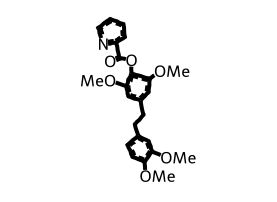 COc1ccc(CCc2cc(OC)c(OC(=O)c3ccccn3)c(OC)c2)cc1OC